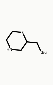 CC(C)(C)CC1CNCCS1